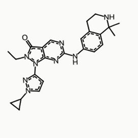 CCn1c(=O)c2cnc(Nc3ccc4c(c3)CCNC4(C)C)nc2n1-c1ccn(C2CC2)n1